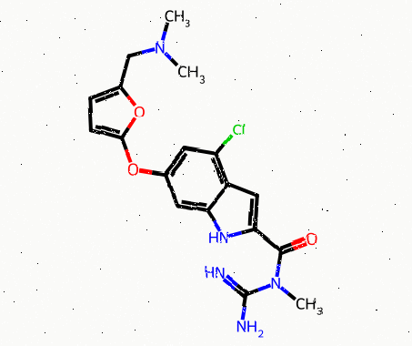 CN(C)Cc1ccc(Oc2cc(Cl)c3cc(C(=O)N(C)C(=N)N)[nH]c3c2)o1